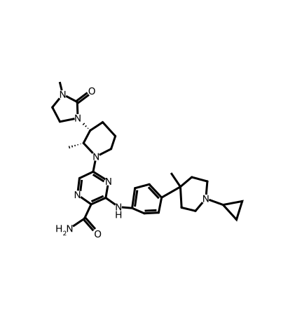 C[C@@H]1[C@H](N2CCN(C)C2=O)CCCN1c1cnc(C(N)=O)c(Nc2ccc(C3(C)CCN(C4CC4)CC3)cc2)n1